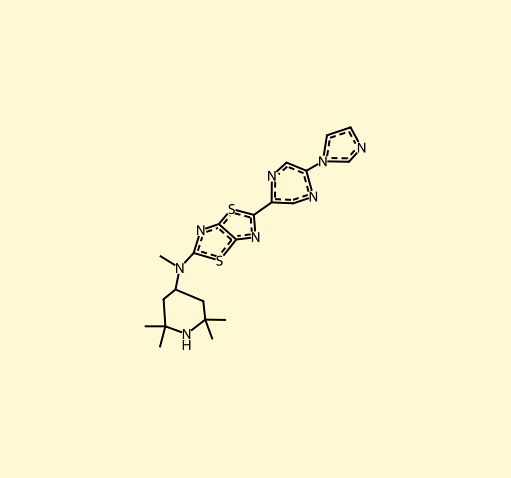 CN(c1nc2sc(-c3cnc(-n4ccnc4)cn3)nc2s1)C1CC(C)(C)NC(C)(C)C1